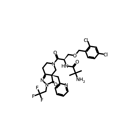 CC(C)(N)C(=O)N[C@H](COCc1ccc(Cl)cc1Cl)C(=O)N1CCC2=NN(CC(F)(F)F)C(=O)[C@@]2(Cc2ccccn2)C1